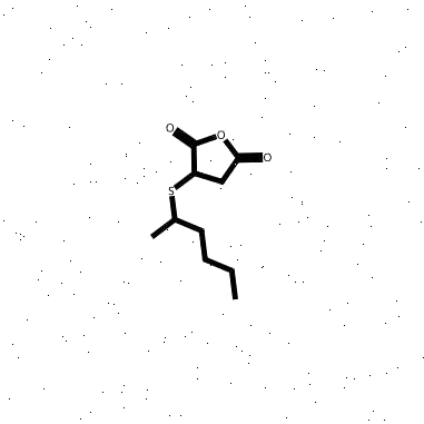 CCCCC(C)SC1CC(=O)OC1=O